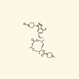 CC(=O)N1CCC(n2nnc3c(F)cc(/C=C(\C)[C@H]4OC(=O)C[C@H](C)CC[C@H](C)[C@@H](OC(=O)N5CCN(C)CC5)/C=C/[C@@H]4C)cc32)CC1